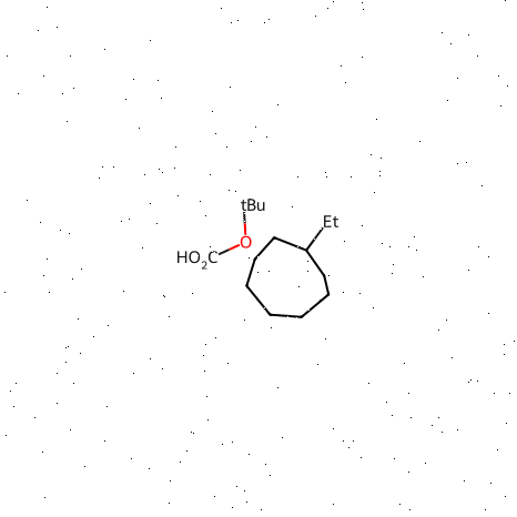 CC(C)(C)OC(=O)O.CCC1CCCCCCC1